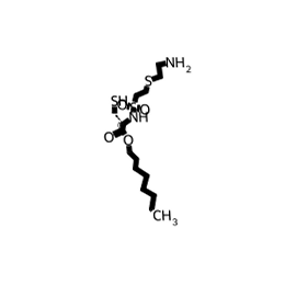 CCCCCCCCOC(=O)[C@H](CS)NS(=O)(=O)CCSCCN